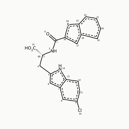 O=C(N[C@H](Cc1cc2cc(Cl)ccc2[nH]1)C(=O)O)c1cc2ccccc2s1